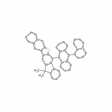 CC1(C)c2ccccc2-c2c1cc1c(sc3cc4ccccc4cc31)c2-c1c2ccccc2c(-c2cccc3ccccc23)c2ccccc12